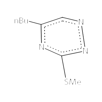 CCCCc1cnnc(SC)n1